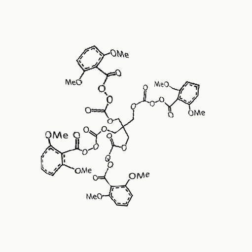 COc1cccc(OC)c1C(=O)OOC(=O)OCC(COC(=O)OOC(=O)c1c(OC)cccc1OC)(COC(=O)OOC(=O)c1c(OC)cccc1OC)COC(=O)OOC(=O)c1c(OC)cccc1OC